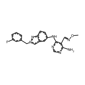 CON=Cc1c(N)ncnc1Nc1ccc2nn(Cc3cccc(F)c3)cc2c1